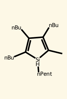 CCCCC[SiH]1C(C)=C(CCCC)C(CCCC)=C1CCCC